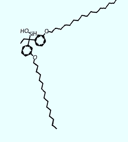 CCCCCCCCCCCCCCCCOc1cccc(C(CC)([SiH2]O)c2cccc(OCCCCCCCCCCCCCCCC)c2)c1